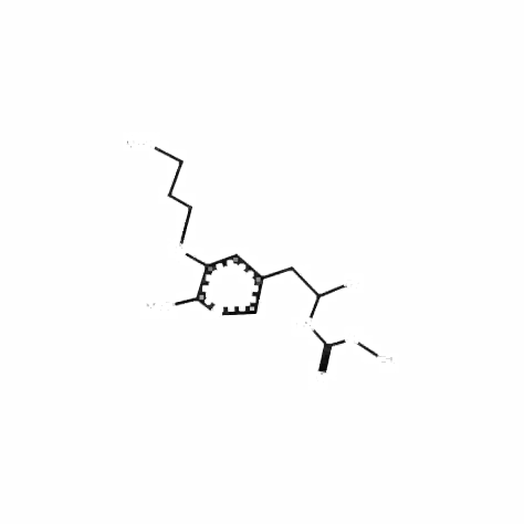 COCCCOc1cc(CC(NC(=O)OC(C)(C)C)C(C)C)cnc1OC